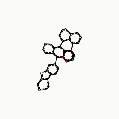 c1ccc(-c2cccc3cccc(-c4c5ccccc5c(-c5ccc6c(c5)oc5ccccc56)c5ccccc45)c23)cc1